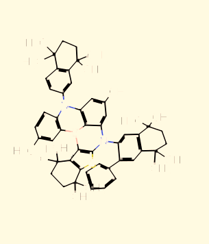 Cc1ccc2c(c1)B1c3c(cc(C)cc3N(c3cc4c(cc3-c3ccccc3)C(C)(C)CCC4(C)C)c3sc4c(c31)C(C)(C)CCC4(C)C)N2c1ccc2c(c1)C(C)(C)CCC2(C)C